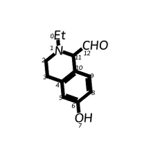 CCN1CCc2cc(O)ccc2C1C=O